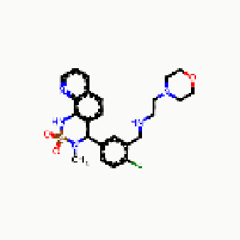 CN1C(c2ccc(F)c(CNCCN3CCOCC3)c2)c2ccc3cccnc3c2NS1(=O)=O